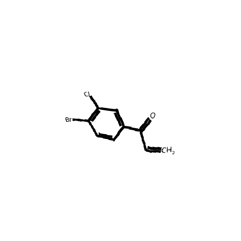 C=CC(=O)c1ccc(Br)c(Cl)c1